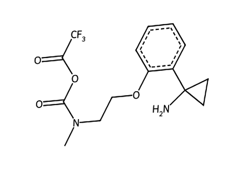 CN(CCOc1ccccc1C1(N)CC1)C(=O)OC(=O)C(F)(F)F